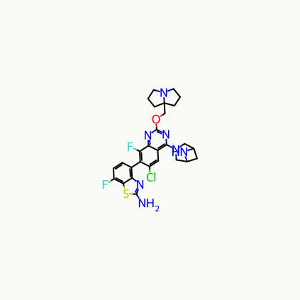 Nc1nc2c(-c3c(Cl)cc4c(N5CC6CC(C5)N6)nc(OCC56CCCN5CCC6)nc4c3F)ccc(F)c2s1